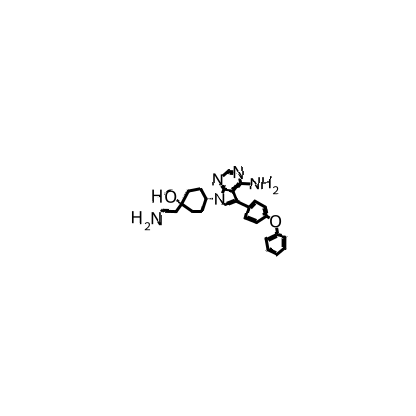 NCC[C@]1(O)CC[C@H](n2cc(-c3ccc(Oc4ccccc4)cc3)c3c(N)ncnc32)CC1